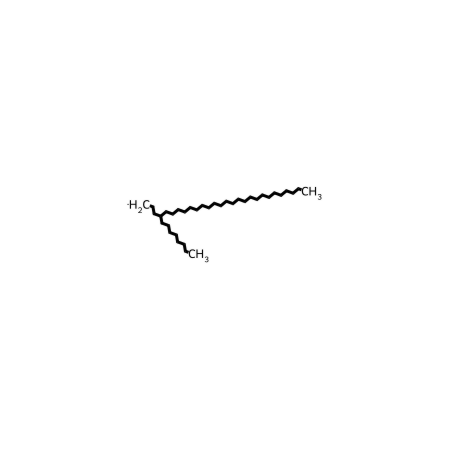 [CH2]CCC(CCCCCCCC)CCCCCCCCCCCCCCCCCCCCCCCC